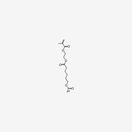 C=C(C)C(=O)OCCOC(=O)CCCCCO[PH](C)=O